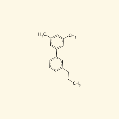 CCCc1cccc(-c2cc(C)cc(C)c2)c1